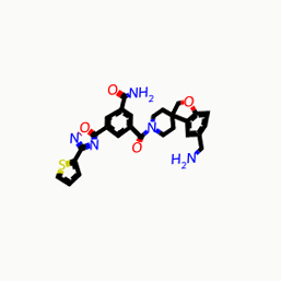 NCc1ccc2c(c1)C1(CCN(C(=O)c3cc(C(N)=O)cc(-c4nc(-c5cccs5)no4)c3)CC1)CO2